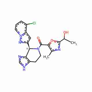 Cc1nc(C(C)O)oc1C(=O)N1CCc2[nH]cnc2[C@H]1c1cc2c(Cl)cccn2n1